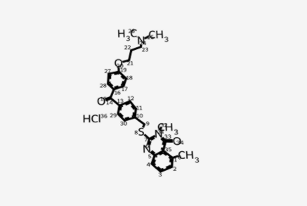 Cc1cccc2nc(SCc3ccc(C(=O)c4ccc(OCCCN(C)C)cc4)cc3)n(C)c(=O)c12.Cl